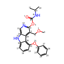 COCc1c(OC(=O)NC(C)C)ncc2[nH]c3cccc(Oc4ccccc4)c3c12